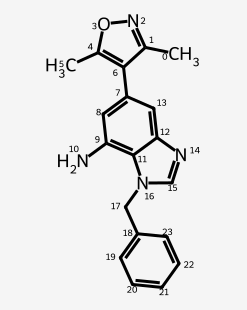 Cc1noc(C)c1-c1cc(N)c2c(c1)ncn2Cc1ccccc1